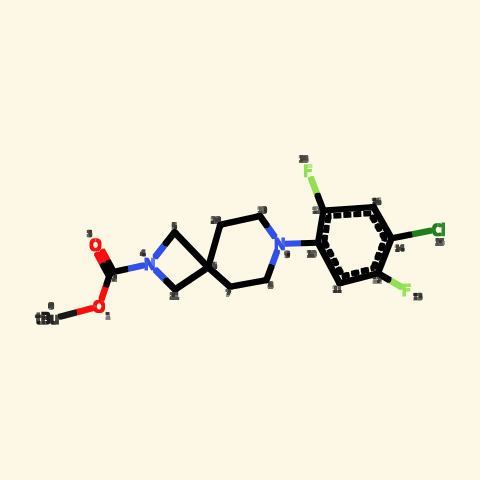 CC(C)(C)OC(=O)N1CC2(CCN(c3cc(F)c(Cl)cc3F)CC2)C1